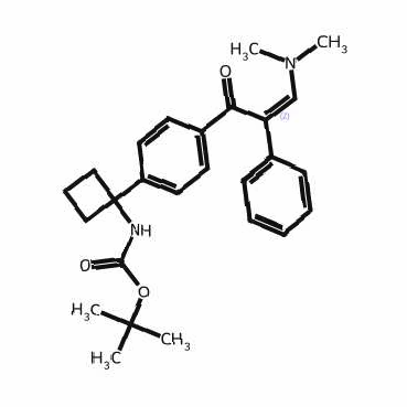 CN(C)/C=C(\C(=O)c1ccc(C2(NC(=O)OC(C)(C)C)CCC2)cc1)c1ccccc1